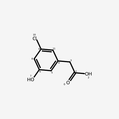 O=C(O)Cc1cc(O)cc(Cl)c1